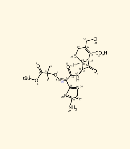 CC(C)(C)OC(=O)C(C)(C)O/N=C(\C(=O)N[C@@H]1C(=O)N2C(C(=O)O)=C(CCl)CS[C@H]12)c1nsc(N)n1